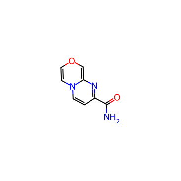 NC(=O)C1=NC2=COC=CN2C=C1